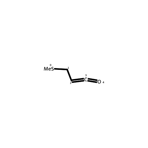 CSCC=C=O